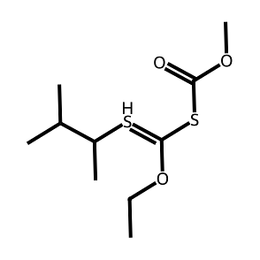 CCOC(SC(=O)OC)=[SH]C(C)C(C)C